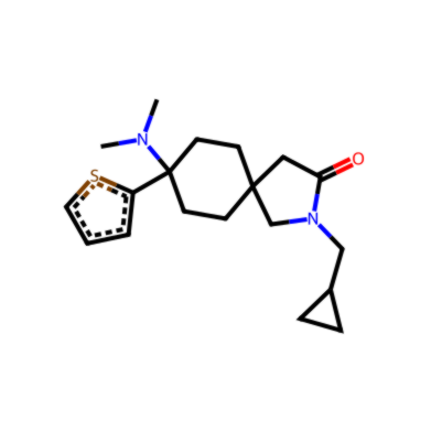 CN(C)C1(c2cccs2)CCC2(CC1)CC(=O)N(CC1CC1)C2